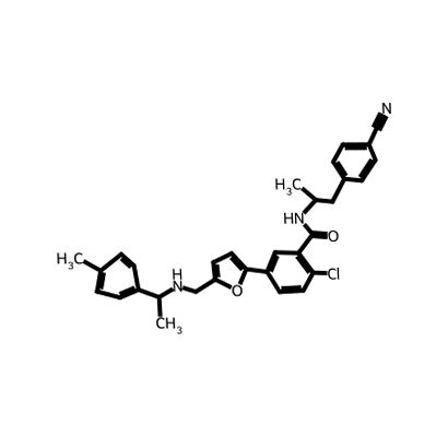 Cc1ccc(C(C)NCc2ccc(-c3ccc(Cl)c(C(=O)NC(C)Cc4ccc(C#N)cc4)c3)o2)cc1